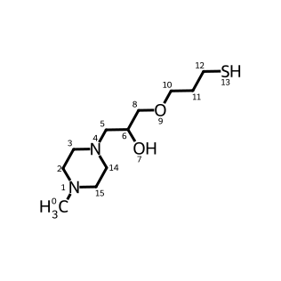 CN1CCN(CC(O)COCCCS)CC1